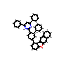 c1ccc(-c2cc(-c3ccccc3)nc(-c3ccc(-c4cccc5oc6cc7ccccc7cc6c45)cc3-c3ccccc3)n2)cc1